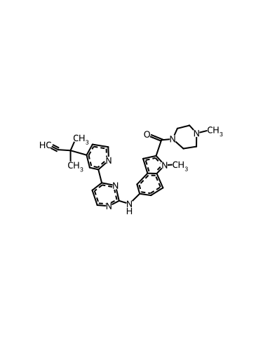 C#CC(C)(C)c1ccnc(-c2ccnc(Nc3ccc4c(c3)cc(C(=O)N3CCN(C)CC3)n4C)n2)c1